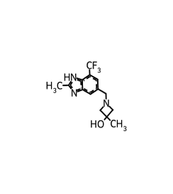 Cc1nc2cc(CN3CC(C)(O)C3)cc(C(F)(F)F)c2[nH]1